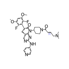 COc1cc(OC)c(F)c(-c2cc3cnc(Nc4ccncc4)nc3n(C3CCN(C(=O)/C=C/CN(C)C)CC3)c2=O)c1F